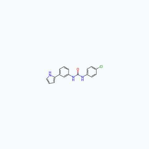 O=C(Nc1ccc(Cl)cc1)Nc1cccc(-c2ccc[nH]2)c1